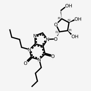 CCCCn1c(=O)c2c(ncn2O[C@@H]2O[C@H](CO)[C@@H](O)[C@H]2O)n(CCCC)c1=O